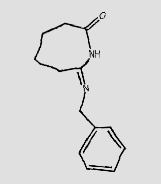 O=C1CCCCC(=NCc2ccccc2)N1